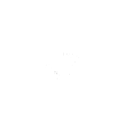 O=C(C1CC2CC3CC(C45CC6CCCC(C(=O)O)(C4)C(C6)C5)(C2)CC3C1)N1Cc2ccccc2C1